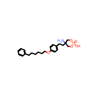 NC1(CCc2ccc(OCCCCCCc3ccccc3)cc2)COP(=O)(O)OC1